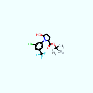 CC(C)(C)OC(=O)C1CCC(O)N1c1cc(Cl)cc(C(F)(F)F)c1